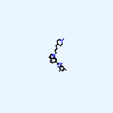 Cc1cc(C)c2nc(-c3ccc4ccn(CCCCC5CCN(C)CC5)c4c3)[nH]c2c1